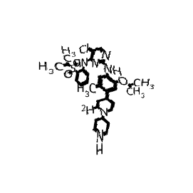 [2H]C1CC(c2cc(OC(C)C)c(Nc3ncc(Cl)c(Nc4ccccc4S(=O)(=O)C(C)C)n3)cc2C)CCN1C1CCNCC1